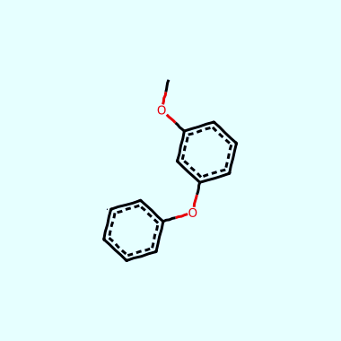 COc1cccc(Oc2c[c]ccc2)c1